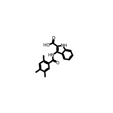 Cc1cc(C)c(C(=O)Nc2c(C(=O)O)[nH]c3ccccc23)cc1C